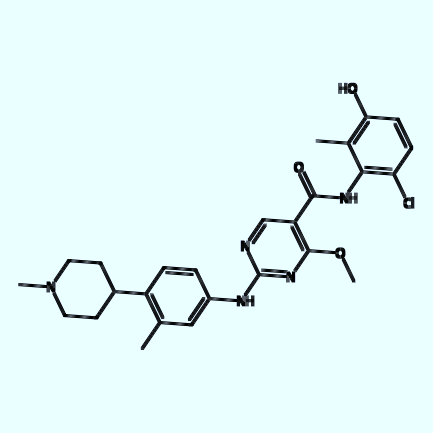 COc1nc(Nc2ccc(C3CCN(C)CC3)c(C)c2)ncc1C(=O)Nc1c(Cl)ccc(O)c1C